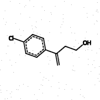 C=C(CCO)c1ccc(Cl)cc1